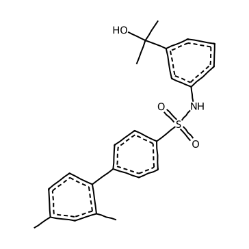 Cc1ccc(-c2ccc(S(=O)(=O)Nc3cccc(C(C)(C)O)c3)cc2)c(C)c1